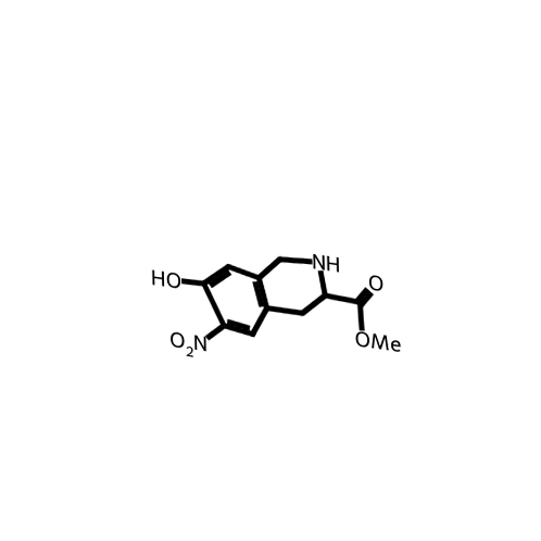 COC(=O)C1Cc2cc([N+](=O)[O-])c(O)cc2CN1